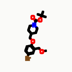 COCc1cc(Br)ccc1OCC1CCN(C(=O)OC(C)(C)C)CC1